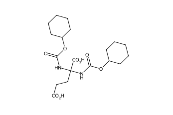 O=C(O)CCC(NC(=O)OC1CCCCC1)(NC(=O)OC1CCCCC1)C(=O)O